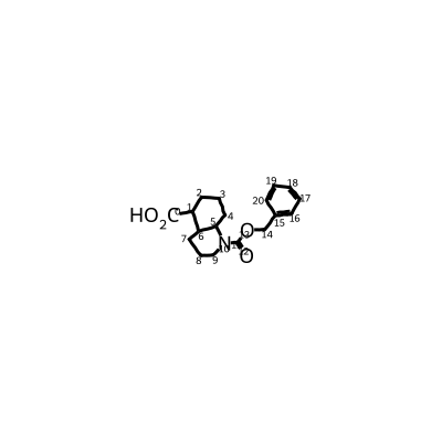 O=C(O)C1CCCC2C1CCCN2C(=O)OCc1ccccc1